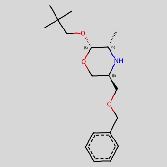 C[C@@H]1N[C@@H](COCc2ccccc2)CO[C@@H]1OCC(C)(C)C